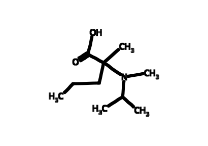 CCCC(C)(C(=O)O)N(C)C(C)C